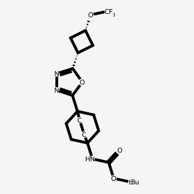 CC(C)(C)OC(=O)NC12CCC(c3nnc([C@H]4C[C@@H](OC(F)(F)F)C4)o3)(CC1)CC2